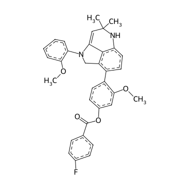 COc1cc(OC(=O)c2ccc(F)cc2)ccc1-c1ccc2c3c1CN(c1ccccc1OC)C3=CC(C)(C)N2